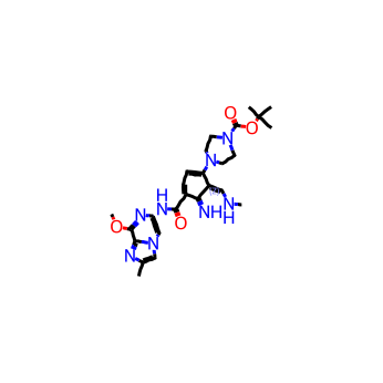 CN/C=C1\C(=N)C(C(=O)Nc2cn3cc(C)nc3c(OC)n2)=CC=C1N1CCN(C(=O)OC(C)(C)C)CC1